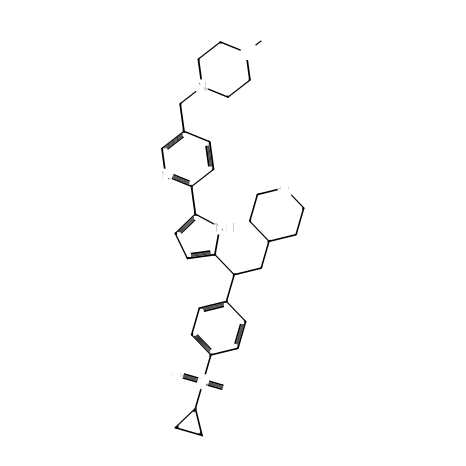 O=S(=O)(c1ccc(C(CC2CCOCC2)c2ccc(-c3ccc(CN4CC[S+]([O-])CC4)cn3)[nH]2)cc1)C1CC1